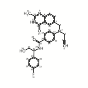 C#CCN(Cc1ccc2nc(C)[nH]c(=O)c2c1)c1ccc(C(=O)NC(CO)c2ccc(F)cc2)cc1